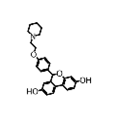 Oc1ccc2c(c1)OC(c1ccc(OCCN3CCCCC3)cc1)c1cc(O)ccc1-2